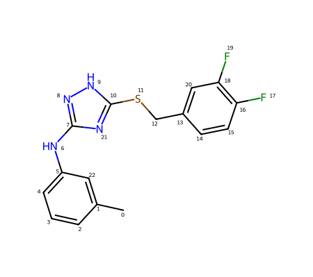 Cc1cccc(Nc2n[nH]c(SCc3ccc(F)c(F)c3)n2)c1